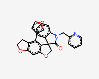 O=C1N(Cc2ccccn2)c2ccccc2C12COc1cc3c(c(-c4ccoc4)c12)CCO3